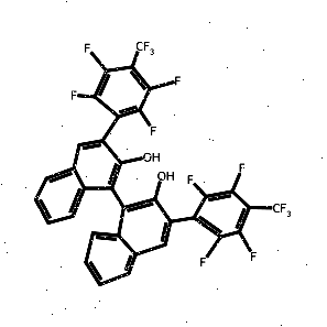 Oc1c(-c2c(F)c(F)c(C(F)(F)F)c(F)c2F)cc2ccccc2c1-c1c(O)c(-c2c(F)c(F)c(C(F)(F)F)c(F)c2F)cc2ccccc12